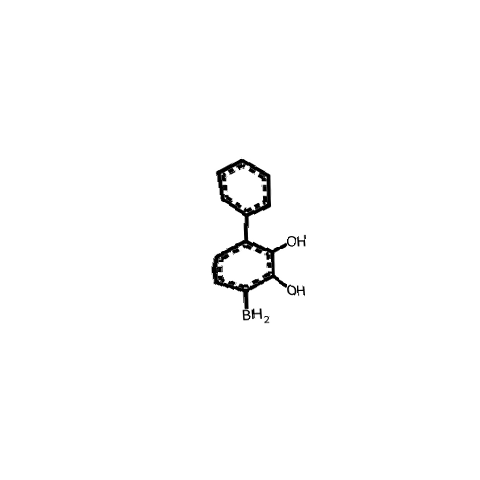 Bc1ccc(-c2ccccc2)c(O)c1O